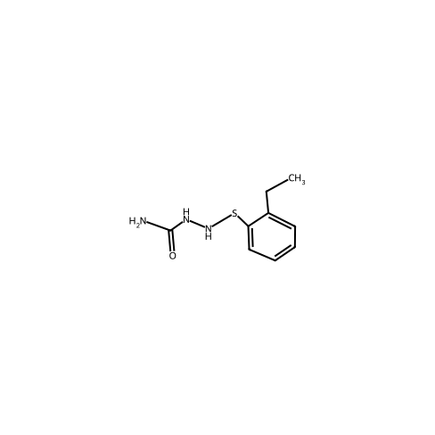 CCc1ccccc1SNNC(N)=O